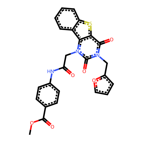 COC(=O)c1ccc(NC(=O)Cn2c(=O)n(Cc3ccco3)c(=O)c3sc4ccccc4c32)cc1